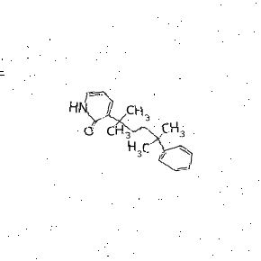 CC(C)(CCC(C)(C)c1ccc[nH]c1=O)c1ccccc1